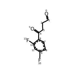 O=CCCC(=O)c1ccc(F)cc1F